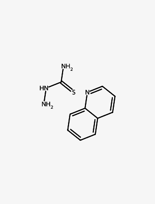 NNC(N)=S.c1ccc2ncccc2c1